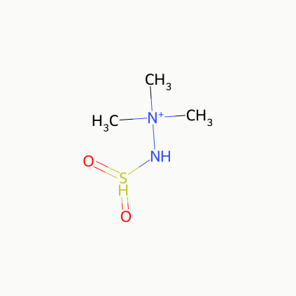 C[N+](C)(C)N[SH](=O)=O